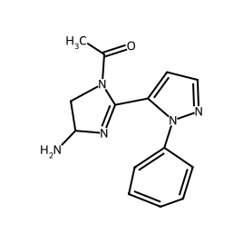 CC(=O)N1CC(N)N=C1c1ccnn1-c1ccccc1